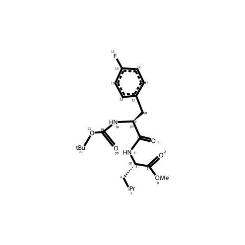 COC(=O)[C@H](CC(C)C)NC(=O)[C@H](Cc1ccc(F)cc1)NC(=O)OC(C)(C)C